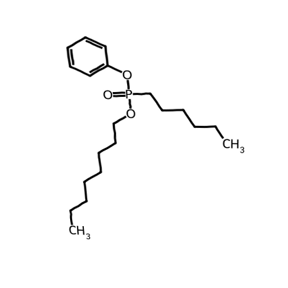 CCCCCCCCOP(=O)(CCCCCC)Oc1ccccc1